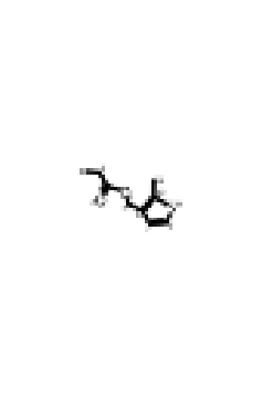 CCC(=O)OCc1ccsc1C